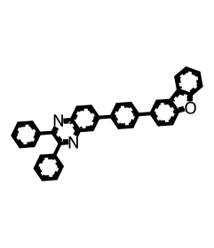 c1ccc(-c2nc3ccc(-c4ccc(-c5ccc6oc7ccccc7c6c5)cc4)cc3nc2-c2ccccc2)cc1